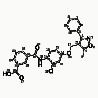 Cc1onc(-c2ccccc2)c1COc1ccc(NC(=O)c2cccc(C(=O)O)c2)c(Cl)c1